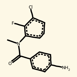 CN(C(=O)c1ccc(N)cc1)c1cccc(Cl)c1F